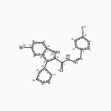 O=C(N/N=C\c1ccc(F)cc1)c1[nH]c2ccc(Br)cc2c1-c1ccccc1